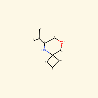 CC(C)C1COCC2(CCC2)N1